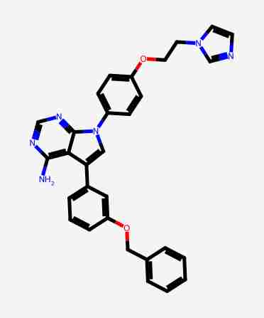 Nc1ncnc2c1c(-c1cccc(OCc3ccccc3)c1)cn2-c1ccc(OCCn2ccnc2)cc1